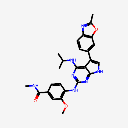 CNC(=O)c1ccc(Nc2nc(NC(C)C)c3c(-c4ccc5nc(C)oc5c4)c[nH]c3n2)c(OC)c1